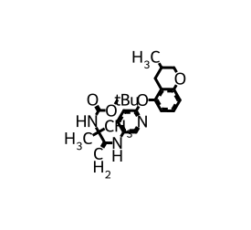 C=C(Nc1ccc(Oc2cccc3c2CC(C)CO3)nc1)C(C)(C)NC(=O)OC(C)(C)C